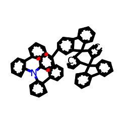 c1ccc(-c2ccccc2N(c2ccc(-c3ccc4c(c3)C3(c5ccccc5-4)c4ccccc4C4(c5ccccc5-c5ccccc54)c4ccccc43)cc2)c2ccccc2-c2ccccc2)cc1